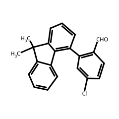 CC1(C)c2ccccc2-c2c(-c3cc(Cl)ccc3C=O)cccc21